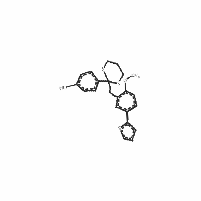 COc1ccc(-c2cccs2)cc1CC1(c2ccc(O)cc2)SCCCS1